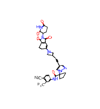 N#Cc1ccc(NC(=O)C2(n3cc(C#CC4CN(C5=CC6=C(CC5)C(=O)N(C5CCC(=O)NC5=O)C6=O)C4)cn3)CCC2)cc1C(F)(F)F